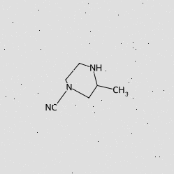 CC1CN(C#N)CCN1